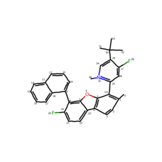 Cc1ccc2c(oc3c(-c4cccc5ccccc45)c(F)ccc32)c1-c1cc(F)c(C(C)(C)C)c[n+]1C